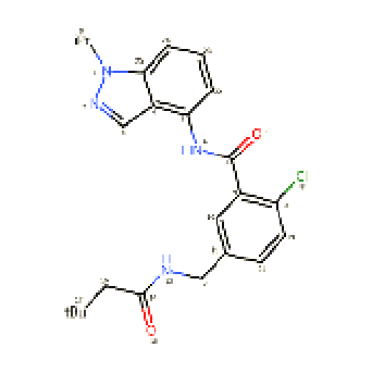 CC(C)n1ncc2c(NC(=O)c3cc(CNC(=O)CC(C)(C)C)ccc3Cl)cccc21